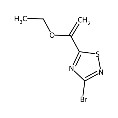 C=C(OCC)c1nc(Br)ns1